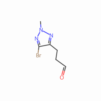 Cn1nc(Br)c(CCC=O)n1